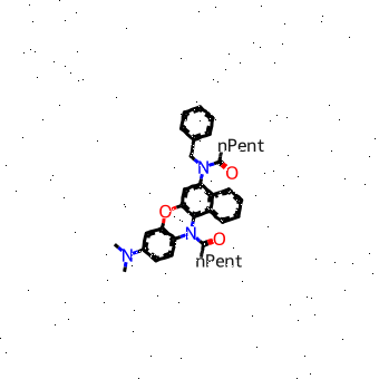 CCCCCC(=O)N(Cc1ccccc1)c1cc2c(c3ccccc13)N(C(=O)CCCCC)c1ccc(N(C)C)cc1O2